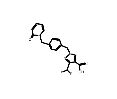 O=C(O)c1cn(Cc2ccc(Cn3ccccc3=O)cc2)nc1C(F)F